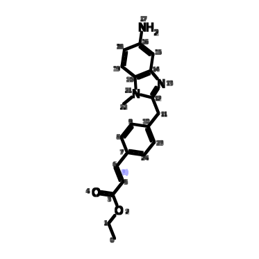 CCOC(=O)/C=C/c1ccc(Cc2nc3cc(N)ccc3n2C)cc1